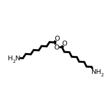 NCCCCCCCCC(=O)OC(=O)CCCCCCCCN